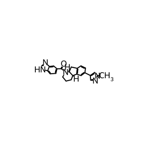 Cn1cc(-c2ccc3c(c2)[C@@H]2CCCN(C(=O)c4ccc5[nH]cnc5c4)[C@@H]2C3)cn1